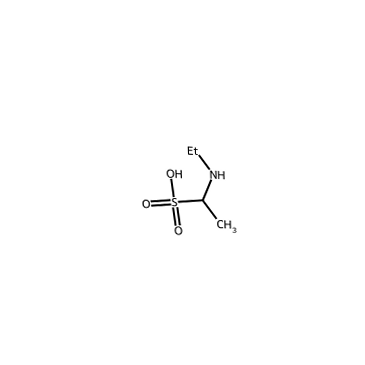 [CH2]CNC(C)S(=O)(=O)O